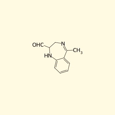 CC1=NCC(C=O)Nc2ccccc21